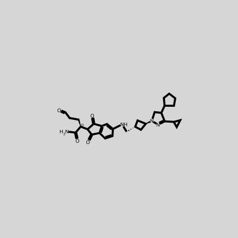 NC(=O)[C@@H](CCC=O)C1C(=O)c2ccc(NC[C@H]3C[C@H](N4CC(C5CCCC5)C(C5CC5)=N4)C3)cc2C1=O